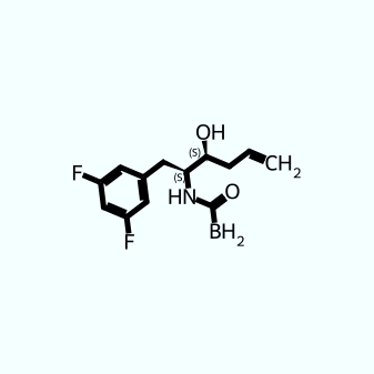 BC(=O)N[C@@H](Cc1cc(F)cc(F)c1)[C@@H](O)CC=C